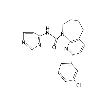 O=C(Nc1ccncn1)N1CCCCc2ccc(-c3cccc(Cl)c3)nc21